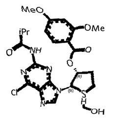 COc1ccc(C(=O)O[C@@H]2CC[SH](CO)[C@H]2n2cnc3c(Cl)nc(NC(=O)C(C)C)nc32)c(OC)c1